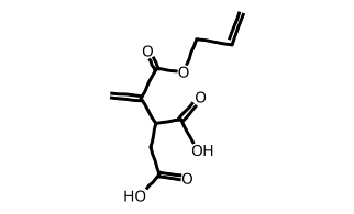 C=CCOC(=O)C(=C)C(CC(=O)O)C(=O)O